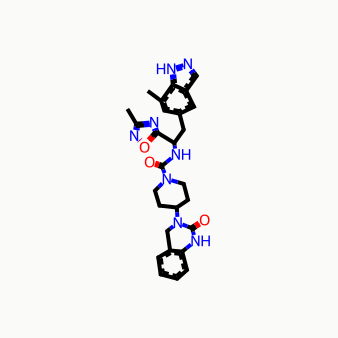 Cc1noc(C(Cc2cc(C)c3[nH]ncc3c2)NC(=O)N2CCC(N3Cc4ccccc4NC3=O)CC2)n1